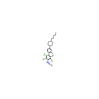 CCCCCC1CCC(c2ccc(-c3c(F)c(F)c(N=C=S)c(F)c3F)c(C)c2)CC1